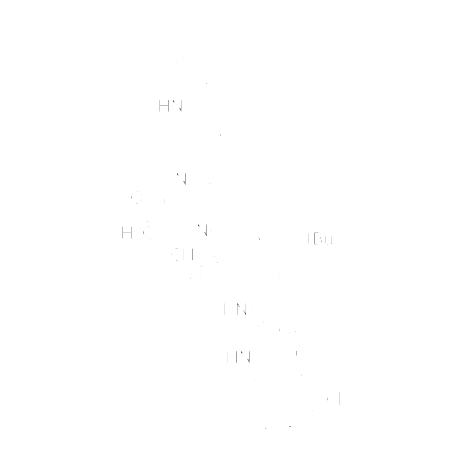 CC(C)(C)c1cc(C(=O)N2CCN(CC(=O)NCC3CC3)C(=O)C2(C)C)c(NC(=O)Nc2cccc(Cl)c2Cl)s1